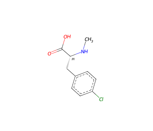 CN[C@H](Cc1ccc(Cl)cc1)C(=O)O